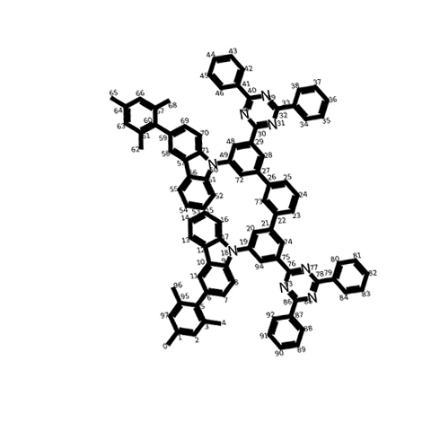 Cc1cc(C)c(-c2ccc3c(c2)c2ccccc2n3-c2cc(-c3cccc(-c4cc(-c5nc(-c6ccccc6)nc(-c6ccccc6)n5)cc(-n5c6ccccc6c6cc(-c7c(C)cc(C)cc7C)ccc65)c4)c3)cc(-c3nc(-c4ccccc4)nc(-c4ccccc4)n3)c2)c(C)c1